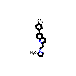 C[C@@H]1CCCN1CCc1ccc2cc(-c3ccc(C(F)(F)F)cc3)ccc2n1